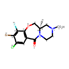 O=C(O)N1CCN2C(=O)c3cc(Cl)c(Br)c(F)c3OC[C@H]2C1